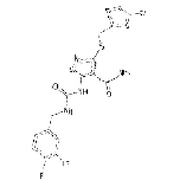 NC(=O)c1c(SCc2ccc(Cl)s2)nsc1NC(=O)NCc1ccc(F)c(F)c1